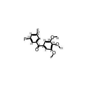 COc1cc(C(=O)c2cc(F)cc(F)c2)cc(OC)c1OC